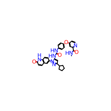 CNC(=O)c1cc(Oc2ccc(NC(=O)Nc3cc(C4CCCC4)nn3-c3ccc4[nH]c(=O)ccc4c3)cc2)ccn1